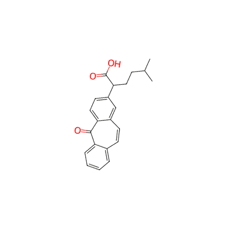 CC(C)CCC(C(=O)O)c1ccc2c(=O)c3ccccc3ccc2c1